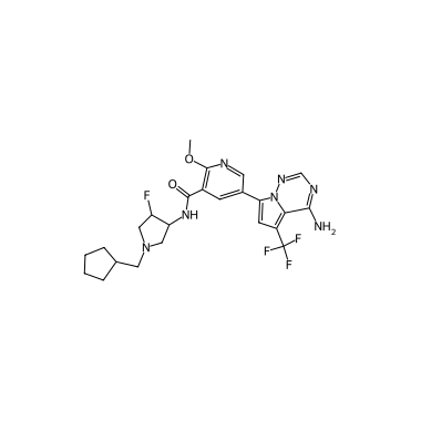 COc1ncc(-c2cc(C(F)(F)F)c3c(N)ncnn23)cc1C(=O)NC1CN(CC2CCCC2)CC1F